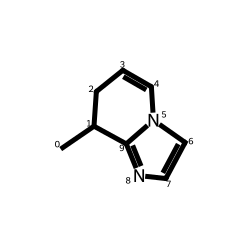 CC1CC=Cn2ccnc21